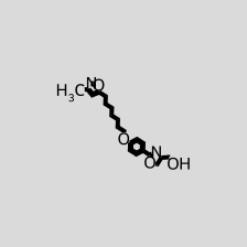 Cc1cc(CCCCCCCOc2ccc(C3=NC(CO)CO3)cc2)on1